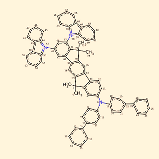 CC1(C)c2cc(N(c3ccc(-c4ccccc4)cc3)c3ccc(-c4ccccc4)cc3)ccc2-c2cc3c(cc21)-c1cc(-n2c4ccccc4c4ccccc42)cc(-n2c4ccccc4c4ccccc42)c1C3(C)C